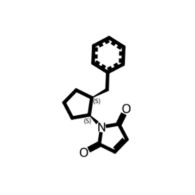 O=C1C=CC(=O)N1[C@H]1CCC[C@H]1Cc1ccccc1